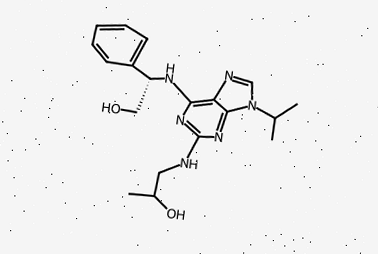 CC(O)CNc1nc(N[C@H](CO)c2ccccc2)c2ncn(C(C)C)c2n1